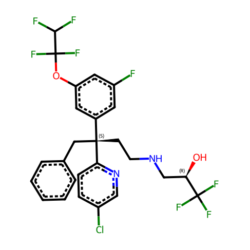 O[C@H](CNCC[C@@](Cc1ccccc1)(c1cc(F)cc(OC(F)(F)C(F)F)c1)c1ccc(Cl)cn1)C(F)(F)F